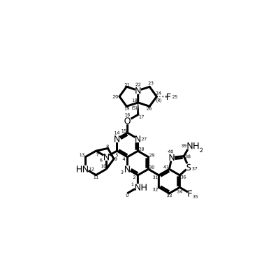 CNc1nc2c(N3C4CCC3CNC4)nc(OC[C@@]34CCCN3C[C@H](F)C4)nc2cc1-c1ccc(F)c2sc(N)nc12